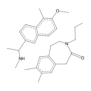 CCCN1CCc2cc(C)c(C)cc2CC1=O.CNC(C)c1ccc2c(C)c(OC)ccc2c1